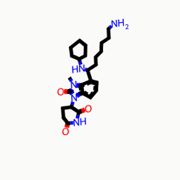 Cn1c(=O)n(C2CCC(=O)NC2=O)c2cccc(C(CCCCCCN)NC3CCCCC3)c21